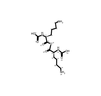 NCCCC[C@H](NC(=O)O)C(=O)OC(=O)[C@H](CCCCN)NC(=O)O